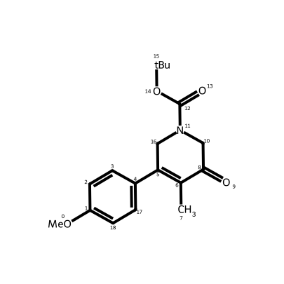 COc1ccc(C2=C(C)C(=O)CN(C(=O)OC(C)(C)C)C2)cc1